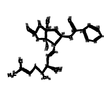 CC(Cl)=CCC(C)[C@H](O)C=C[C@@H]1[C@H]2CC(=O)O[C@H]2C[C@H]1OC(=O)c1ccccc1